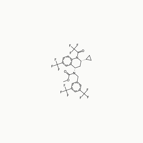 COC(=O)N(Cc1cc(C(F)(F)F)cc(C(F)(F)F)c1)[C@H]1C[C@@H](C2CC2)N(C(=O)C(F)(F)F)c2ccc(C(F)(F)F)cc21